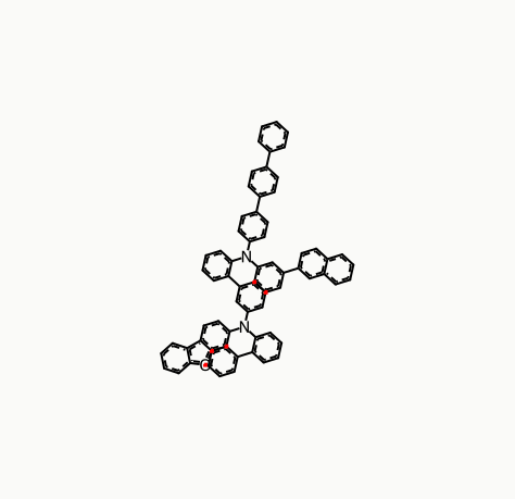 c1ccc(-c2ccc(-c3ccc(N(c4cccc(-c5ccc6ccccc6c5)c4)c4ccccc4-c4cccc(N(c5ccc6c(c5)oc5ccccc56)c5ccccc5-c5ccccc5)c4)cc3)cc2)cc1